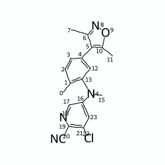 Cc1ccc(-c2c(C)noc2C)cc1N(C)c1cnc(C#N)c(Cl)c1